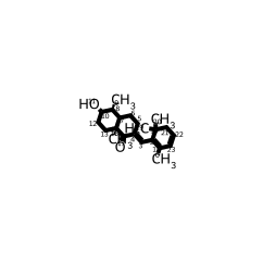 CC1=C(/C=C2\CCC3[C@H](C)C(O)CC[C@]3(C)C2=O)C(C)(C)CC=C1